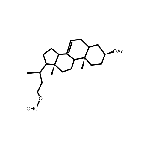 CC(=O)O[C@H]1CC[C@@]2(C)C(CC=C3C2CC[C@@]2(C)C3CCC2[C@H](C)CCOC=O)C1